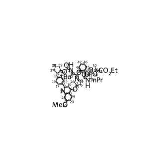 CCCC(NC(=O)[C@@H]1C[C@@H](Oc2cc(-c3ccccc3)nc3cc(OC)ccc23)CN1C(=O)[C@@H](NC(=O)OC1CCCC1)C(C)(C)C)P(=O)(Oc1ccccc1)O[C@@H](C)C(=O)OCC